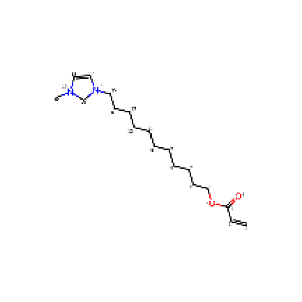 C=CC(=O)OCCCCCCCCCCCN1C=CN(C)C1